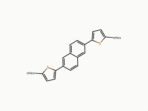 CCCCCCc1ccc(-c2ccc3cc(-c4ccc(CCCCCC)s4)ccc3c2)s1